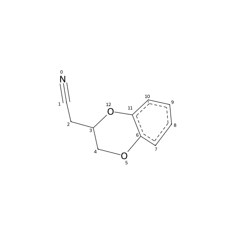 N#CCC1COc2ccc[c]c2O1